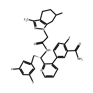 CC1CCc2c(C(F)(F)F)nn(CC(=O)N[C@@H](Cc3cc(F)cc(F)c3)c3ncccc3-c3ccc(F)c(C(N)=O)c3)c2C1